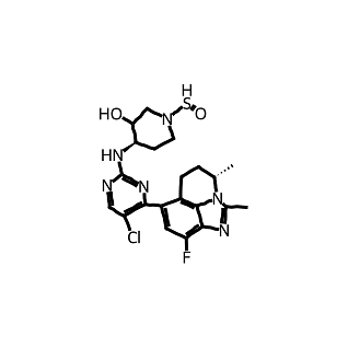 Cc1nc2c(F)cc(-c3nc(N[C@@H]4CCN([SH]=O)CC4O)ncc3Cl)c3c2n1[C@@H](C)CC3